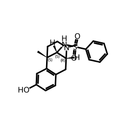 CN1CC[C@@]2(C)c3cc(O)ccc3C[C@@H]1[C@H]2NS(=O)(=O)c1ccccc1